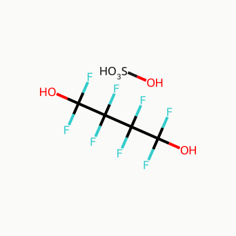 O=S(=O)(O)O.OC(F)(F)C(F)(F)C(F)(F)C(O)(F)F